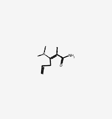 C=CCC(=C(C)C(N)=O)N(C)C